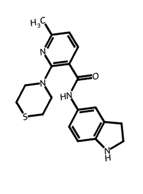 Cc1ccc(C(=O)Nc2ccc3c(c2)CCN3)c(N2CCSCC2)n1